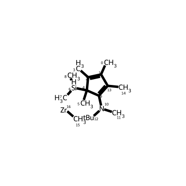 CC1=C(C)C(C)([SiH](C)C)C(N(C)C(C)(C)C)=C1C.[CH3][Zr]